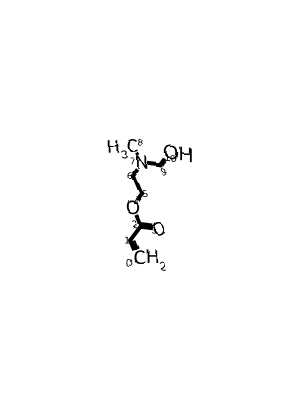 C=CC(=O)OCCN(C)CO